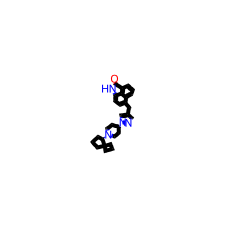 O=C1Nc2ccc(Cc3cnn(C4CCN([C@H]5CCCC56CCC6)CC4)c3)c3cccc1c23